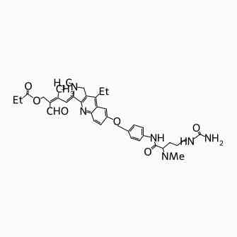 CCC(=O)OC/C(C=O)=C(C)/C=C1/c2nc3ccc(OCc4ccc(NC(=O)C(CCCNC(N)=O)NC)cc4)cc3c(CC)c2CN1C